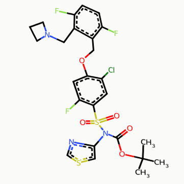 CC(C)(C)OC(=O)N(c1cscn1)S(=O)(=O)c1cc(Cl)c(OCc2c(F)ccc(F)c2CN2CCC2)cc1F